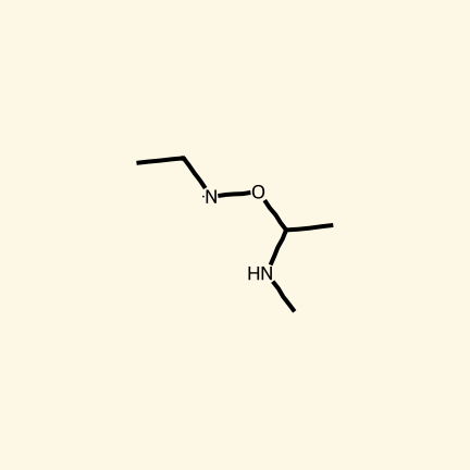 CC[N]OC(C)NC